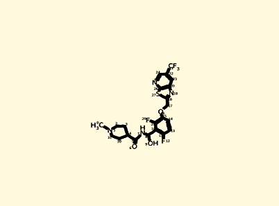 CN1CCC(C(=O)NC(O)c2c(F)ccc(OCc3nc4cc(C(F)(F)F)cnc4s3)c2F)CC1